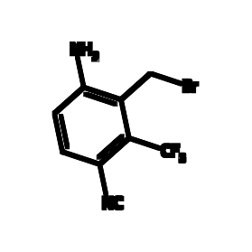 [C-]#[N+]c1ccc(N)c(CBr)c1C(F)(F)F